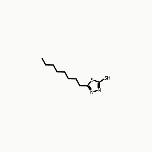 CCCCCCCCc1nnc(S)s1